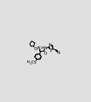 CSc1ccc(/C(=N\OC2CCCC2)C(=O)Nc2ncc(C#N)s2)cc1